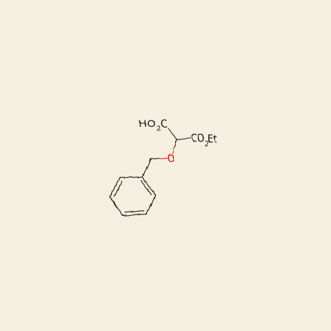 CCOC(=O)C(OCc1ccccc1)C(=O)O